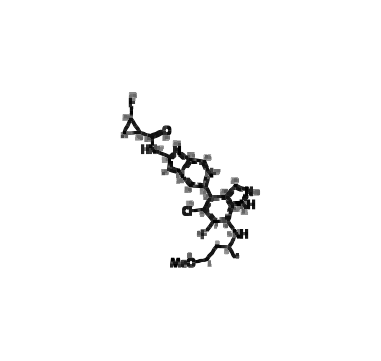 COCCC(C)Nc1c(F)c(Cl)c(-c2cn3cc(NC(=O)C4CC4F)nc3cn2)c2cn[nH]c12